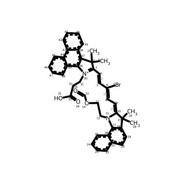 CC1(C)C(/C=C/C(Br)=C/C=C2\N(CCOC=O)c3c(ccc4ccccc34)C2(C)C)=[N+](CCC(=O)O)c2c1c1ccccc1c1ccccc21